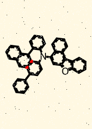 c1ccc(-c2ccc(N(c3ccccc3-c3cccc4ccccc34)c3cc4oc5ccccc5c4c4ccccc34)cc2)cc1